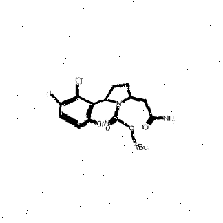 COc1ccc(Cl)c(Cl)c1C1CCC(CC(N)=O)N1C(=O)OC(C)(C)C